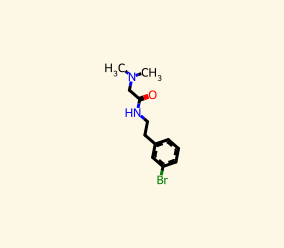 CN(C)CC(=O)NCCc1cccc(Br)c1